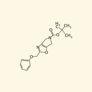 CC(C)(C)OC(=O)N1Cc2nc(COc3ccccc3)oc2C1